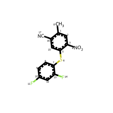 Cc1cc([N+](=O)[O-])c(Sc2ccc(F)cc2F)cc1C#N